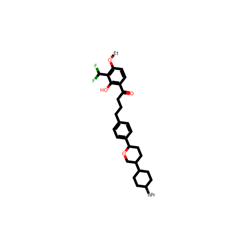 CCCC1CCC(C2CCC(c3ccc(CCCC(=O)c4ccc(OCC)c(C(F)F)c4O)cc3)OC2)CC1